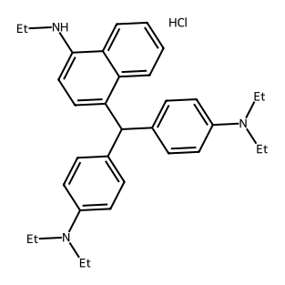 CCNc1ccc(C(c2ccc(N(CC)CC)cc2)c2ccc(N(CC)CC)cc2)c2ccccc12.Cl